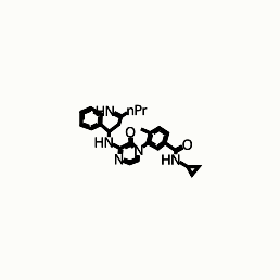 CCCC(=N)CC(Nc1nccn(-c2cc(C(=O)NC3CC3)ccc2C)c1=O)c1ccccc1